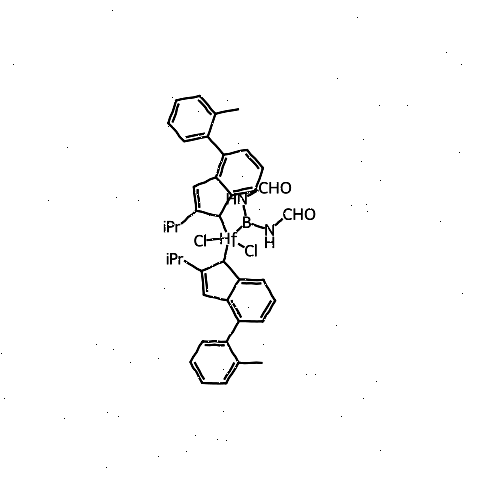 Cc1ccccc1-c1cccc2c1C=C(C(C)C)[CH]2[Hf]([Cl])([Cl])([B](NC=O)NC=O)[CH]1C(C(C)C)=Cc2c(-c3ccccc3C)cccc21